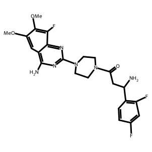 COc1cc2c(N)nc(N3CCN(C(=O)CC(N)c4ccc(F)cc4F)CC3)nc2c(F)c1OC